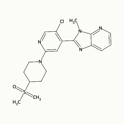 C=S(C)(=O)C1CCN(c2cc(-c3nc4cccnc4n3C)c(Cl)cn2)CC1